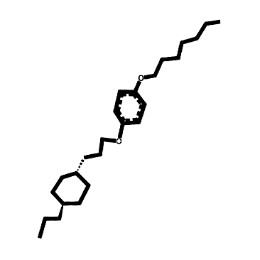 CCCCCCCOc1ccc(OCCC[C@H]2CC[C@H](CCC)CC2)cc1